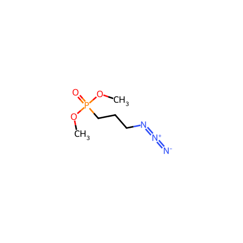 COP(=O)(CCCN=[N+]=[N-])OC